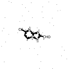 O=Cc1nc2nc(Cl)ccn2n1